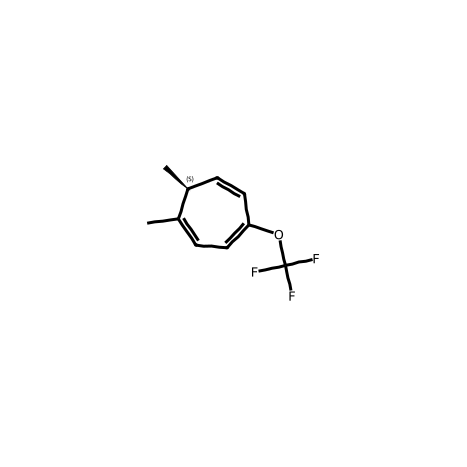 CC1=CC=C(OC(F)(F)F)C=C[C@@H]1C